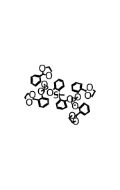 C[Si](C)(c1ccccc1OP(Oc1ccccc1C1OCCO1)Oc1ccccc1C1OCCO1)c1ccccc1OP(Oc1ccccc1C1OCCO1)Oc1ccccc1C1OCCO1